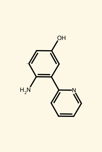 Nc1[c]cc(O)cc1-c1ccccn1